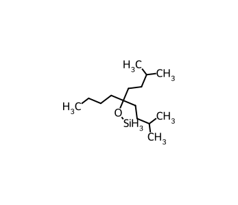 CCCCC(CCC(C)C)(CCC(C)C)O[SiH3]